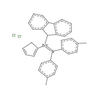 Cc1ccc([Si](c2ccc(C)cc2)=[Zr+2]([C]2=CC=CC2)[CH]2c3ccccc3-c3ccccc32)cc1.[Cl-].[Cl-]